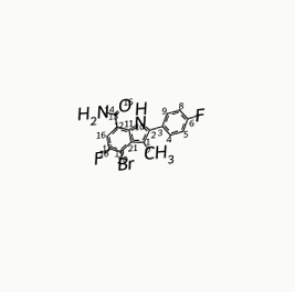 Cc1c(-c2ccc(F)cc2)[nH]c2c(C(N)=O)cc(F)c(Br)c12